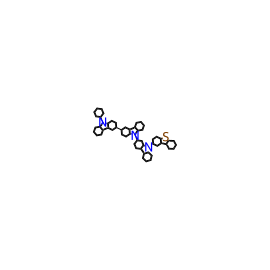 c1ccc(-n2c3ccccc3c3cc(-c4ccc5c(c4)c4ccccc4n5-c4ccc5c6ccccc6n(-c6ccc7sc8ccccc8c7c6)c5c4)ccc32)cc1